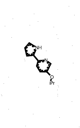 CC(C)Oc1ccc(-c2ccc[nH]2)nc1